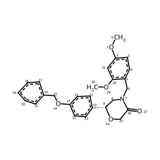 COc1ccc(CN2C[C@@H](c3ccc(OCc4ccccc4)cc3)OCC2=O)c(OC)c1